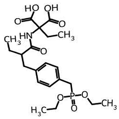 CCOP(=O)(Cc1ccc(CC(CC)C(=O)NC(CC)(C(=O)O)C(=O)O)cc1)OCC